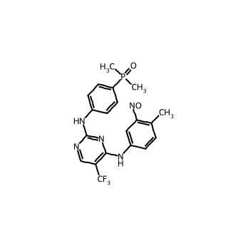 Cc1ccc(Nc2nc(Nc3ccc(P(C)(C)=O)cc3)ncc2C(F)(F)F)cc1N=O